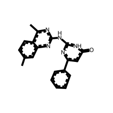 Cc1ccc2c(C)nc(Nc3nc(-c4ccccc4)cc(=O)[nH]3)nc2c1